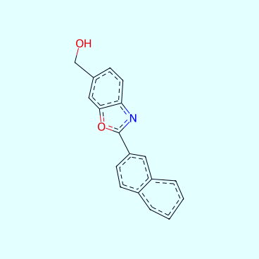 OCc1ccc2nc(-c3ccc4ccccc4c3)oc2c1